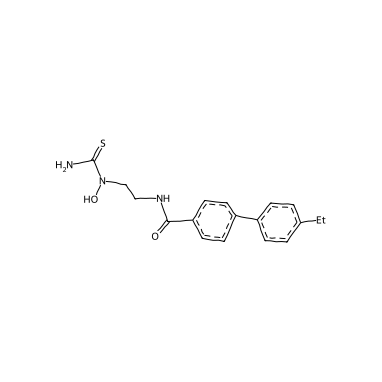 CCc1ccc(-c2ccc(C(=O)NCCN(O)C(N)=S)cc2)cc1